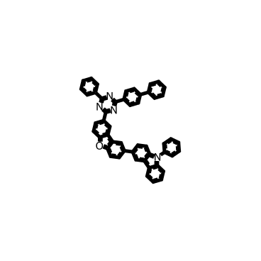 c1ccc(-c2ccc(-c3nc(-c4ccccc4)nc(-c4ccc5oc6ccc(-c7ccc8c(c7)c7ccccc7n8-c7ccccc7)cc6c5c4)n3)cc2)cc1